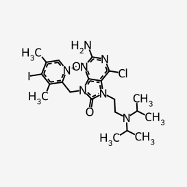 Cc1c[n+]([O-])c(Cn2c(=O)n(CCN(C(C)C)C(C)C)c3c(Cl)nc(N)nc32)c(C)c1I